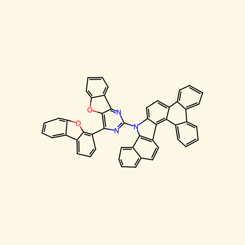 c1ccc2c(c1)ccc1c3c4c5ccccc5c5ccccc5c4ccc3n(-c3nc(-c4cccc5c4oc4ccccc45)c4oc5ccccc5c4n3)c21